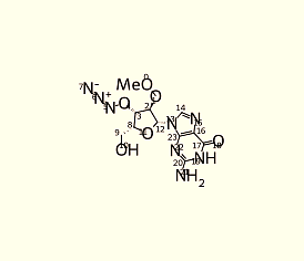 COO[C@@H]1[C@@H](ON=[N+]=[N-])[C@@H](CO)O[C@H]1n1cnc2c(=O)[nH]c(N)nc21